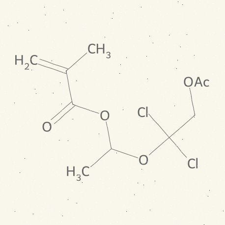 C=C(C)C(=O)OC(C)OC(Cl)(Cl)COC(C)=O